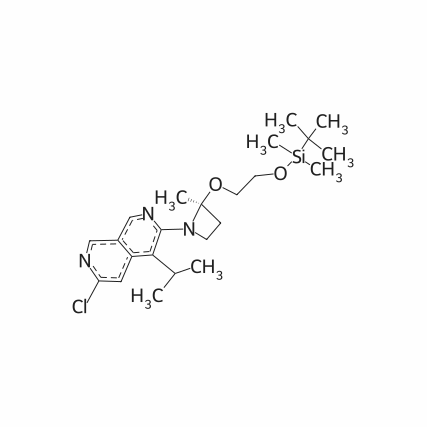 CC(C)c1c(N2CC[C@]2(C)OCCO[Si](C)(C)C(C)(C)C)ncc2cnc(Cl)cc12